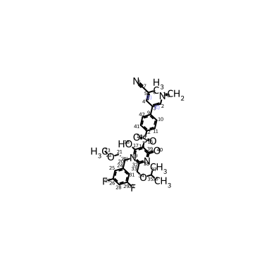 C=N/C=C(\C=C(/C)C#N)c1ccc(S(=O)(=O)c2c(O)n([C@@H](COC)c3cc(F)cc(F)c3)c(COC(C)C)nc2=O)cc1